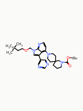 CC(C)(C)OC(=O)N1CCCC2(CCN(c3ccnc4c3c(-c3cncnc3)cn4COCC[Si](C)(C)C)CC2)C1